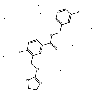 O=C(NCc1cc(Cl)ccn1)c1ccc(F)c(CNC2=NCCN2)c1